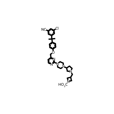 CC(C)(c1ccc(OCc2ccnc(N3CCN(C4CCN(CC5CN(C(=O)O)C5)C4)CC3)n2)cc1)c1cc(Cl)cc(C#N)c1